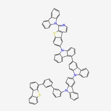 c1cc(-c2cccc(-n3c4ccccc4c4cc(-n5c6ccccc6c6cc(-c7cccc8c7c7ccccc7n8-c7ccc8sc9c(-n%10c%11ccccc%11c%11ccccc%11%10)nccc9c8c7)ccc65)ccc43)c2)cc(-c2cccc3c2sc2ccccc23)c1